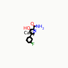 NC(=O)c1ncc(-c2cccc(F)c2)cc1O.[CaH2]